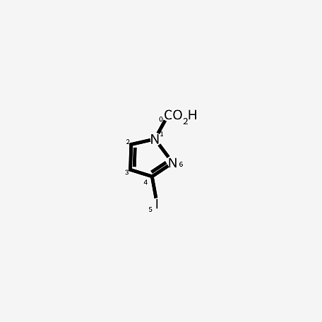 O=C(O)n1ccc(I)n1